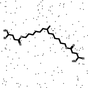 CCCCC(CC)CCC(=O)OCCCCCCC(C)CCCCCCOC(=O)CCC(CC)CCCC